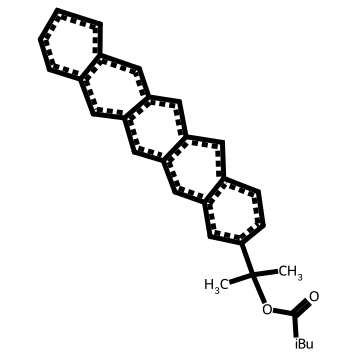 CCC(C)C(=O)OC(C)(C)c1ccc2cc3cc4cc5ccccc5cc4cc3cc2c1